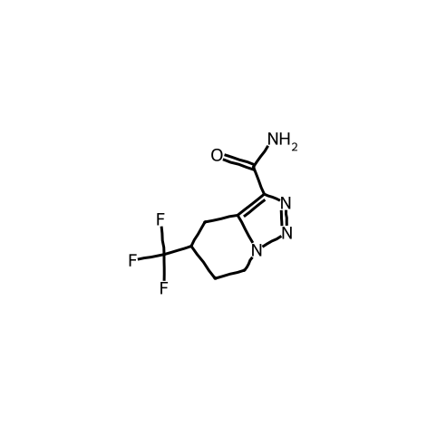 NC(=O)c1nnn2c1CC(C(F)(F)F)CC2